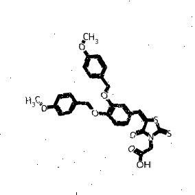 COc1ccc(COc2ccc(C=C3SC(=S)N(CC(=O)O)C3=O)cc2OCc2ccc(OC)cc2)cc1